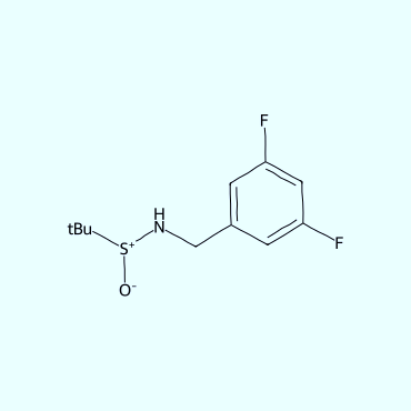 CC(C)(C)[S+]([O-])NCc1cc(F)cc(F)c1